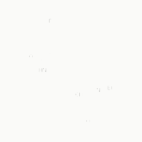 CCN(CC(C)[C@@H]1C=C2NC(=O)C3(CCC(F)CC3)C2=CC1)C1CCOCC1